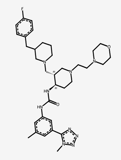 Cc1cc(NC(=O)N[C@@H]2CCN(CCN3CCOCC3)C[C@H]2CN2CCCC(Cc3ccc(F)cc3)C2)cc(-c2nnnn2C)c1